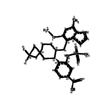 COc1cc(C)c2[nH]ccc2c1CN1CCC2(C[C@H]1c1ccc(C(=O)O)cc1NS(C)(=O)=O)CC(F)(F)C2